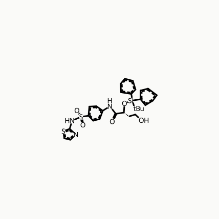 CC(C)(C)[Si](O[C@H](CCO)C(=O)Nc1ccc(S(=O)(=O)Nc2nccs2)cc1)(c1ccccc1)c1ccccc1